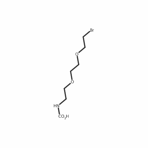 O=C(O)NCCOCCOCCBr